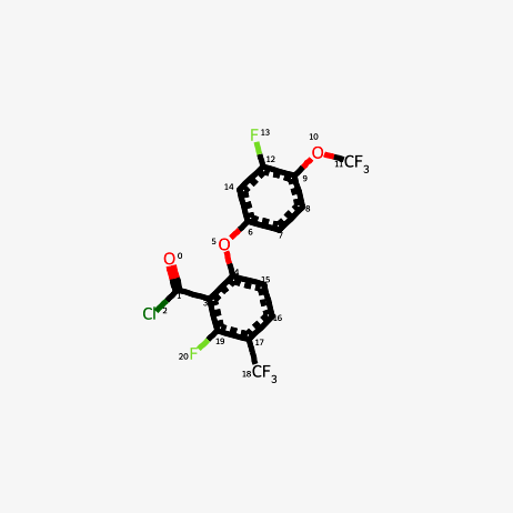 O=C(Cl)c1c(Oc2ccc(OC(F)(F)F)c(F)c2)ccc(C(F)(F)F)c1F